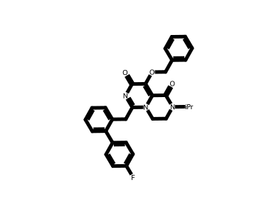 CC(C)N1CCn2c(Cc3ccccc3-c3ccc(F)cc3)nc(=O)c(OCc3ccccc3)c2C1=O